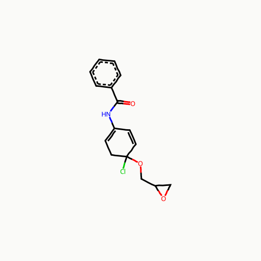 O=C(NC1=CCC(Cl)(OCC2CO2)C=C1)c1ccccc1